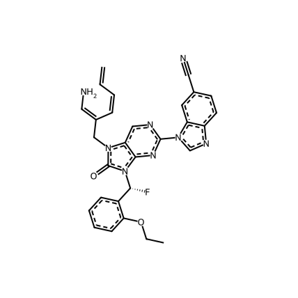 C=C/C=C\C(=C/N)Cn1c(=O)n([C@H](F)c2ccccc2OCC)c2nc(-n3cnc4ccc(C#N)cc43)ncc21